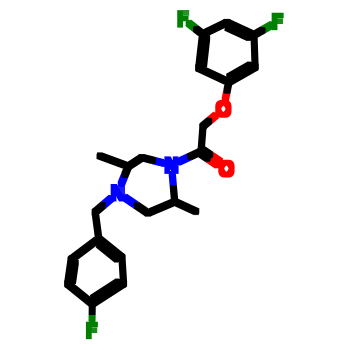 CC1CN(C(=O)COc2cc(F)cc(F)c2)C(C)CN1Cc1ccc(F)cc1